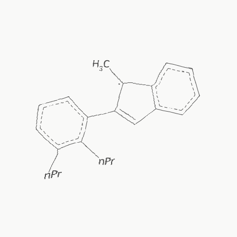 CCCc1cccc(C2=Cc3ccccc3[C]2C)c1CCC